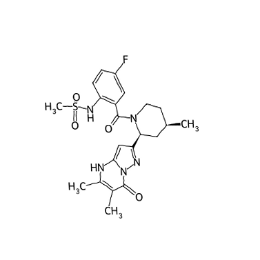 Cc1[nH]c2cc([C@@H]3C[C@H](C)CCN3C(=O)c3cc(F)ccc3NS(C)(=O)=O)nn2c(=O)c1C